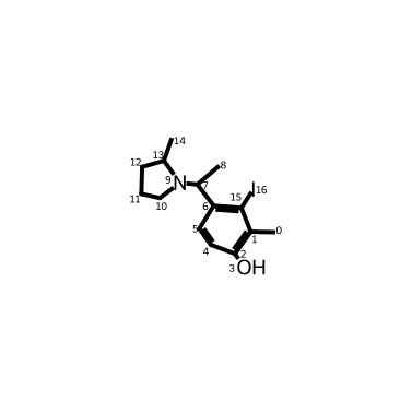 Cc1c(O)ccc(C(C)N2CCCC2C)c1I